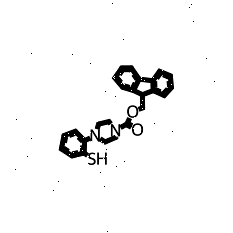 O=C(OCC1c2ccccc2-c2ccccc21)N1CCN(c2ccccc2S)CC1